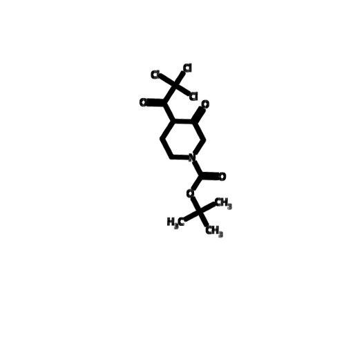 CC(C)(C)OC(=O)N1CCC(C(=O)C(Cl)(Cl)Cl)C(=O)C1